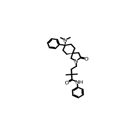 CN(C)[C@]1(c2ccccc2)CC[C@@]2(CC1)CC(=O)N(CCC(C)(C)C(=O)Nc1ccccc1)C2